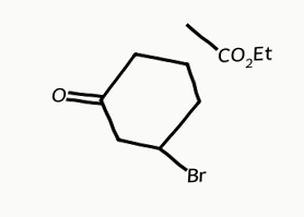 CCOC(C)=O.O=C1CCCC(Br)C1